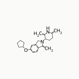 C=C1CCC(N2Cc3cc(OC4CCCC4)ccc3C2=C)C(=C)N1